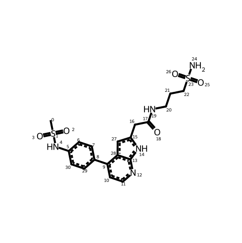 CS(=O)(=O)Nc1ccc(-c2ccnc3[nH]c(CC(=O)NCCCS(N)(=O)=O)cc23)cc1